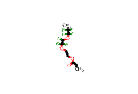 C=CC(=O)OCCOC(F)(F)C(F)OC(F)(F)C(F)(F)C(F)(F)F